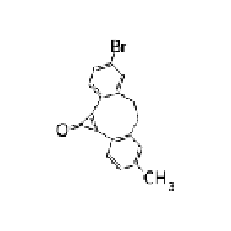 Cc1ccc2c(c1)CCc1cc(Br)ccc1-c1c-2c1=O